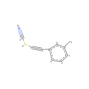 Cc1cccc(C#CSC#N)c1